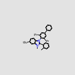 Cc1ccccc1-c1n(-c2c(C(C)C)cc(-c3ccccc3)cc2C(C)C)c2ccc(C(C)(C)C)cc2[n+]1C